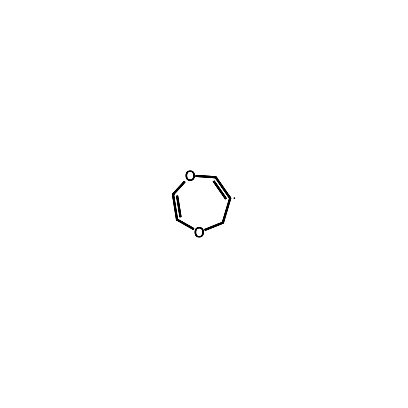 [C]1=COC=COC1